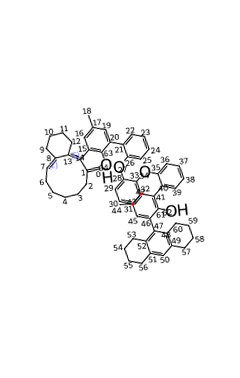 C=C1CCCCC/C=C2/CCCC/C2=C/1c1cc(C)cc(-c2ccccc2Oc2ccccc2Oc2ccccc2-c2cc(C)cc(-c3c4c(cc5c3CCCC5)CCCC4)c2O)c1O